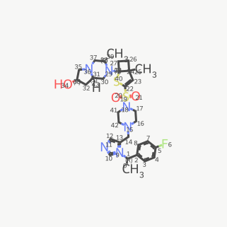 C[C@H](c1ccc(F)cc1)n1cncc1CN1CCN(S(=O)(=O)C2=CC3(C)CC[C@@]3(N3C[C@@H]4C[C@@H](O)CN4C[C@@H]3C)S2)CC1